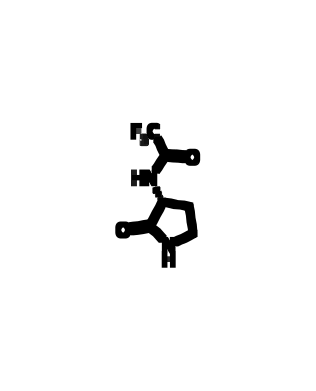 O=C1NCC[C@H]1NC(=O)C(F)(F)F